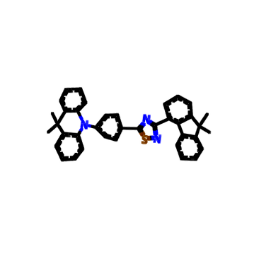 CC1(C)c2ccccc2N(c2ccc(-c3nc(-c4cccc5c4-c4ccccc4C5(C)C)ns3)cc2)c2ccccc21